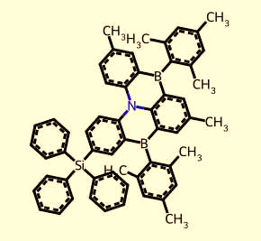 Cc1cc(C)c(B2c3cc(C)ccc3N3c4ccc([Si](c5ccccc5)(c5ccccc5)c5ccccc5)cc4B(c4c(C)cc(C)cc4C)c4cc(C)cc2c43)c(C)c1